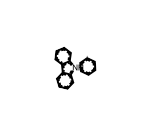 [c]1ccccc1.c1ccc2c(c1)[nH]c1ccccc12